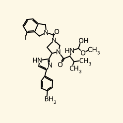 Bc1ccc(-c2c[nH]c(C3CN(C(=O)N4Cc5cccc(I)c5C4)CN3C(=O)[C@@H](NC(O)OC)C(C)C)n2)cc1